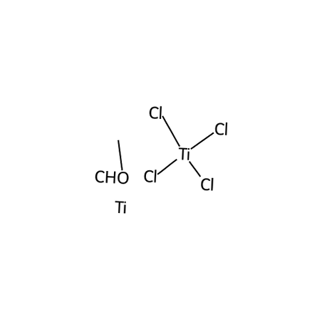 CC=O.[Cl][Ti]([Cl])([Cl])[Cl].[Ti]